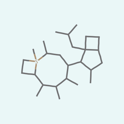 CC(C)CC12CCC1CC(C)C2C1CC(C)S2(C)CCC2C(C)C(C)C1C